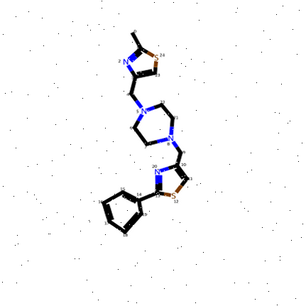 Cc1nc(CN2CCN(Cc3csc(-c4ccccc4)n3)CC2)cs1